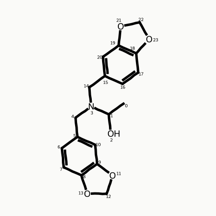 CC(O)N(Cc1ccc2c(c1)OCO2)Cc1ccc2c(c1)OCO2